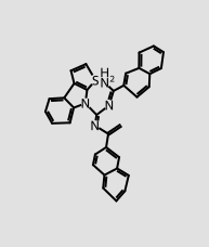 C=C(/N=C(\N=C(/N)c1ccc2ccccc2c1)n1c2ccccc2c2ccsc21)c1ccc2ccccc2c1